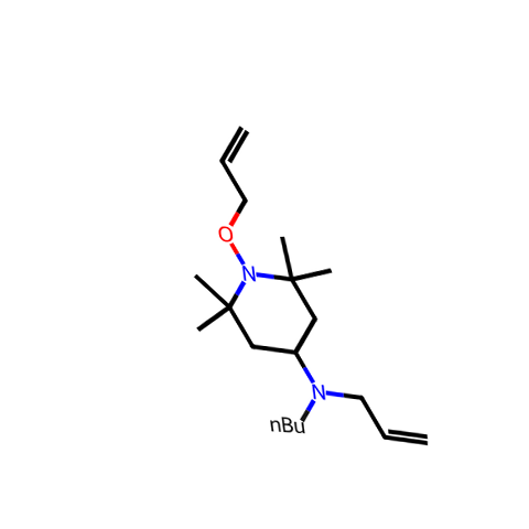 C=CCON1C(C)(C)CC(N(CC=C)CCCC)CC1(C)C